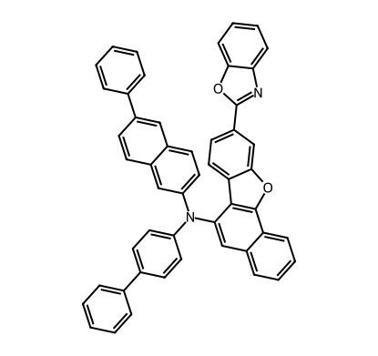 c1ccc(-c2ccc(N(c3ccc4cc(-c5ccccc5)ccc4c3)c3cc4ccccc4c4oc5cc(-c6nc7ccccc7o6)ccc5c34)cc2)cc1